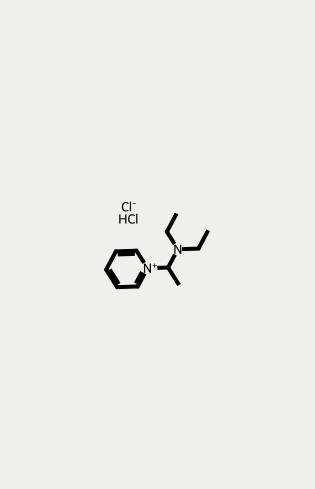 CCN(CC)C(C)[n+]1ccccc1.Cl.[Cl-]